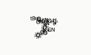 Cn1cccc1COc1nc2c(c(N3CCN(C(=O)OCc4ccccc4)[C@@H](CC#N)C3)n1)CN(C(=O)OC(C)(C)C)C2